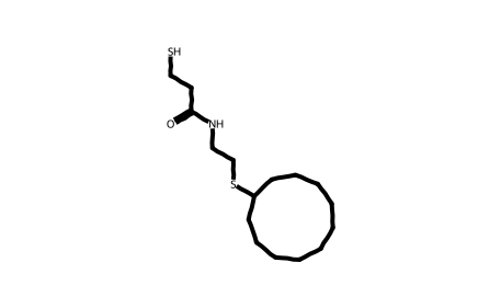 O=C(CCS)NCCSC1CCCCCCCCCC1